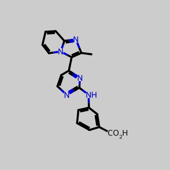 Cc1nc2ccccn2c1-c1ccnc(Nc2cccc(C(=O)O)c2)n1